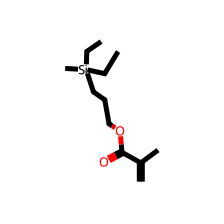 C=C(C)C(=O)OCCC[Si](C)(CC)CC